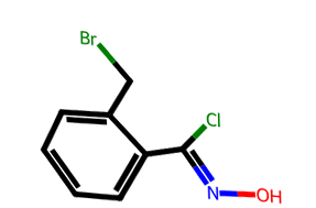 ON=C(Cl)c1ccccc1CBr